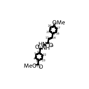 COC(=O)c1ccc(C(=O)NNC(=O)C=Cc2ccc(OC)cc2)cc1